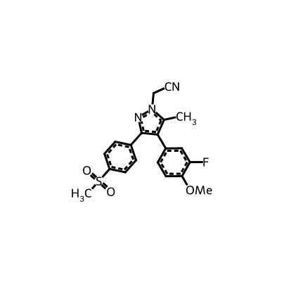 COc1ccc(-c2c(-c3ccc(S(C)(=O)=O)cc3)nn(CC#N)c2C)cc1F